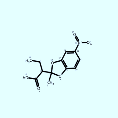 CCC(C(=O)O)C1(C)Oc2ccc([N+](=O)[O-])cc2O1